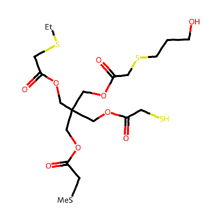 CCSCC(=O)OCC(COC(=O)CS)(COC(=O)CSC)COC(=O)CSCCCO